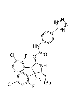 CC(C)(C)C[C@@H]1N[C@H](OC(=O)Nc2ccc(-c3nnn[nH]3)cc2)[C@H](c2cccc(Cl)c2F)[C@@]1(C#N)c1ccc(Cl)cc1F